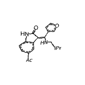 CC(=O)c1ccc2c(c1)C(=C(NCC(C)C)c1ccoc1)C(=O)N2